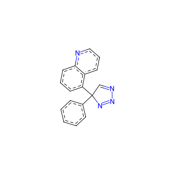 C1=NN=NC1(c1ccccc1)c1cccc2ncccc12